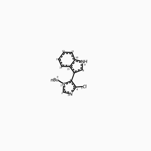 CCCCn1cnc(Cl)c1-c1c[nH]c2ccccc12